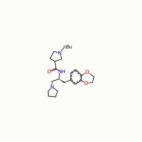 CCCCN1CCC(C(=O)N[C@@H](Cc2ccc3c(c2)OCCO3)CN2CCCC2)C1